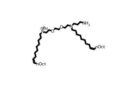 CCCCCCCC/C=C\CCCCCCCCN(CCCC)CCOCCOCCN(CCCN)CCCCCCCC/C=C\CCCCCCCC